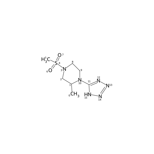 CC1CN(S(C)(=O)=O)CCN1c1nnn[nH]1